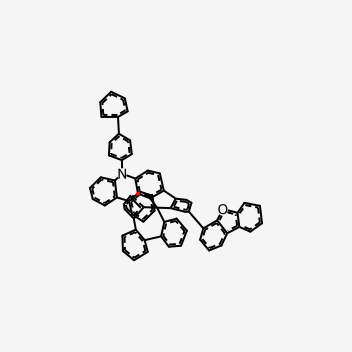 c1ccc(-c2ccc(N(c3ccc4c(c3)C3(c5ccccc5-c5ccccc5-c5ccccc53)c3cc(-c5cccc6c5oc5ccccc56)ccc3-4)c3ccccc3-c3ccccc3)cc2)cc1